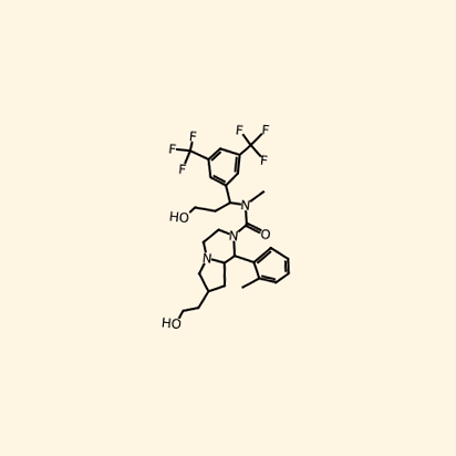 Cc1ccccc1C1C2CC(CCO)CN2CCN1C(=O)N(C)C(CCO)c1cc(C(F)(F)F)cc(C(F)(F)F)c1